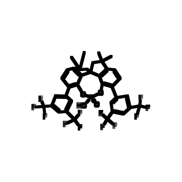 CC1(C)CC23CC(C)(C)c4ccc(-c5cc(C(F)(F)F)cc(C(F)(F)F)c5)c(c42)OP(=O)(O)Oc2c(-c4cc(C(F)(F)F)cc(C(F)(F)F)c4)ccc1c23